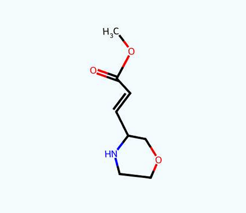 COC(=O)/C=C/C1COCCN1